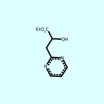 CCOC(=O)C(O)Cc1ncccn1